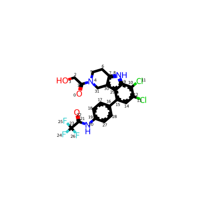 O=C(CO)N1CCc2[nH]c3c(Cl)c(Cl)cc(-c4ccc(NC(=O)C(F)(F)F)cc4)c3c2C1